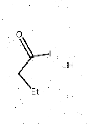 CCCC(=O)I.[LiH]